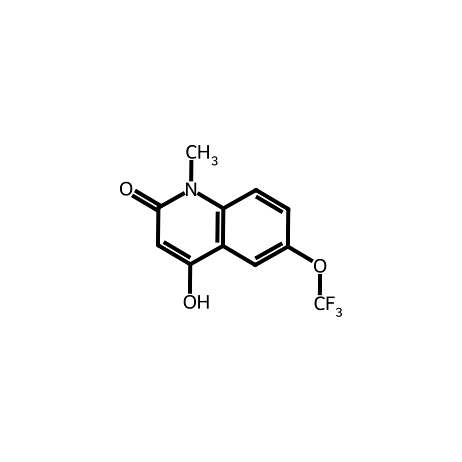 Cn1c(=O)cc(O)c2cc(OC(F)(F)F)ccc21